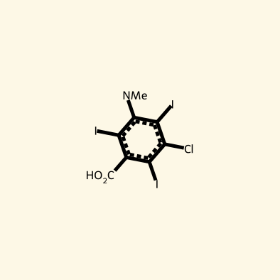 CNc1c(I)c(Cl)c(I)c(C(=O)O)c1I